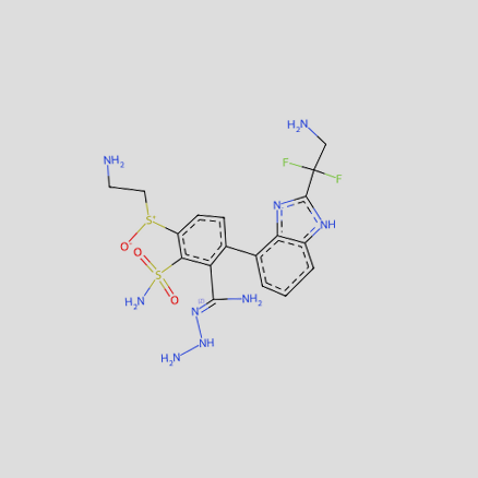 NCC[S+]([O-])c1ccc(-c2cccc3[nH]c(C(F)(F)CN)nc23)c(/C(N)=N/NN)c1S(N)(=O)=O